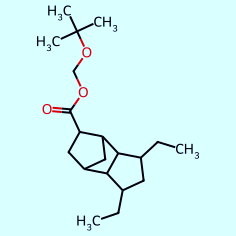 CCC1CC(CC)C2C3CC(CC3C(=O)OCOC(C)(C)C)C12